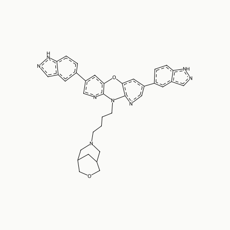 c1cc2[nH]ncc2cc1-c1cnc2c(c1)Oc1cc(-c3ccc4[nH]ncc4c3)cnc1N2CCCCN1CC2COCC(C2)C1